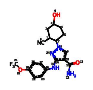 N#CC1CC(O)CCC1n1cc(C(N)=O)c(Nc2ccc(OC(F)(F)F)cc2)n1